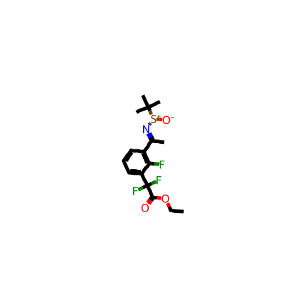 CCOC(=O)C(F)(F)c1cccc(C(C)=N[S+]([O-])C(C)(C)C)c1F